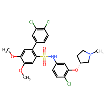 COc1cc(-c2ccc(Cl)c(Cl)c2)c(S(=O)(=O)Nc2ccc(Cl)c(O[C@@H]3CCN(C)C3)c2)cc1OC